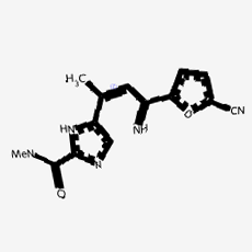 CNC(=O)c1ncc(/C(C)=C\C(=N)c2ccc(C#N)o2)[nH]1